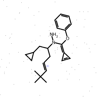 CC(C)(C)/C=C/CC(CC1CC1)N(N)C(Oc1ccccc1)=C1C=C1